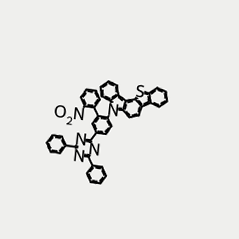 O=[N+]([O-])c1ccccc1-c1cc(-c2nc(-c3ccccc3)nc(-c3ccccc3)n2)ccc1-n1c2ccccc2c2c3sc4ccccc4c3ccc21